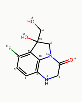 O=C1CNc2ccc(F)c3c2N1CC3(O)CO